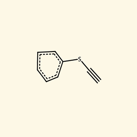 C#CSc1ccccc1